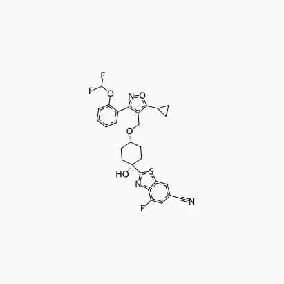 N#Cc1cc(F)c2nc([C@]3(O)CC[C@@H](OCc4c(-c5ccccc5OC(F)F)noc4C4CC4)CC3)sc2c1